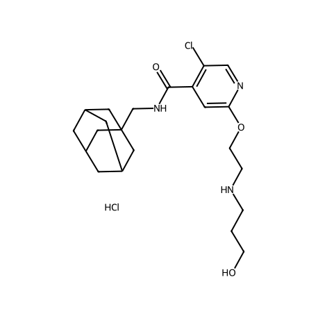 Cl.O=C(NCC12CC3CC(CC(C3)C1)C2)c1cc(OCCNCCCO)ncc1Cl